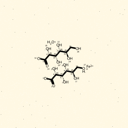 O.O=C([O-])[C@H](O)[C@@H](O)[C@H](O)[C@H](O)CO.O=C([O-])[C@H](O)[C@@H](O)[C@H](O)[C@H](O)CO.[Fe+2]